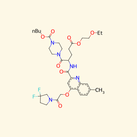 CCCCOC(=O)N1CCN(C(=O)C(CCC(=O)OCCOCC)NC(=O)c2cc(OCC(=O)N3CCC(F)(F)C3)c3ccc(C)cc3n2)CC1